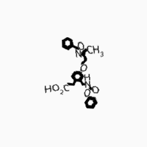 Cc1oc(-c2ccccc2)nc1CCOc1ccc(CCC(=O)O)c(CNC(=O)Oc2ccccc2)c1